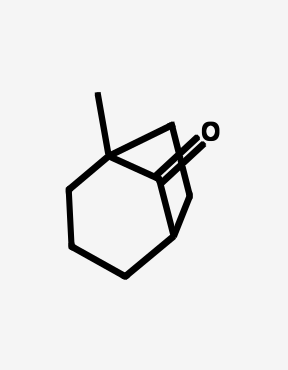 CC12CCCC(CC1)C2=O